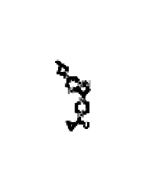 CC1CN(c2cnc3c(N4CCN(C(=O)C5CC5)CC4)cnn3c2)C1